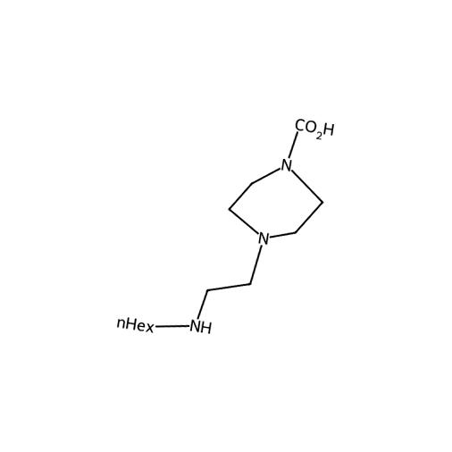 CCCCCCNCCN1CCN(C(=O)O)CC1